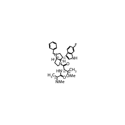 CN[C@@H](C)C(=O)N[C@H](C(=O)N1CC[C@@H]2[C@H]1[C@@H](c1c[nH]c3cc(F)ccc13)CN2Cc1ccccc1)[C@@H](C)OC